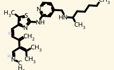 C=C(/C=C\c1nc(Nc2cc(CNC(C)CCCCC)ccn2)sc1C)C(/C=N\C)=C(C)C